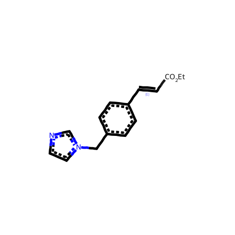 CCOC(=O)/C=C/c1ccc(Cn2ccnc2)cc1